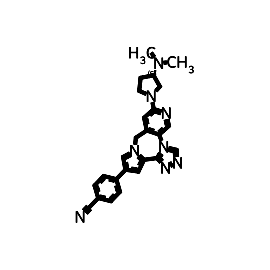 CN(C)[C@H]1CCN(c2cc3c(cn2)-n2cnnc2-c2cc(-c4ccc(C#N)cc4)cn2C3)C1